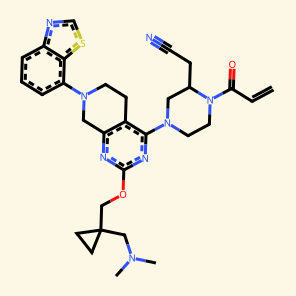 C=CC(=O)N1CCN(c2nc(OCC3(CN(C)C)CC3)nc3c2CCN(c2cccc4ncsc24)C3)CC1CC#N